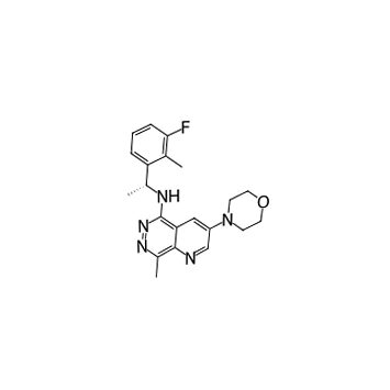 Cc1c(F)cccc1[C@@H](C)Nc1nnc(C)c2ncc(N3CCOCC3)cc12